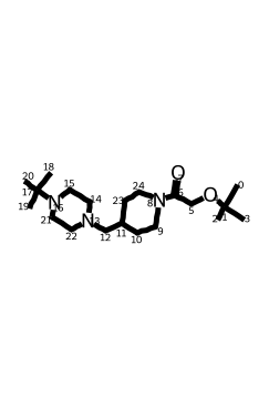 CC(C)(C)OCC(=O)N1CCC(CN2CCN(C(C)(C)C)CC2)CC1